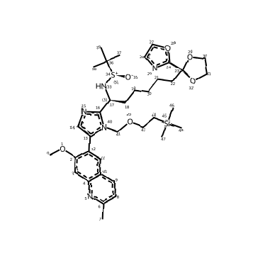 COc1cc2nc(C)ccc2cc1-c1cnc([C@H](CCCCCC2(c3ncco3)OCCO2)N[S@+]([O-])C(C)(C)C)n1COCC[Si](C)(C)C